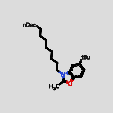 CCCCCCCCCCCCCCCCCC[n+]1c(C)oc2ccc(C(C)(C)C)cc21